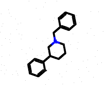 [c]1ccccc1C1CCCN(Cc2ccccc2)C1